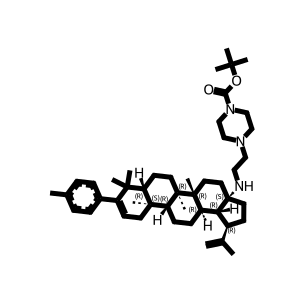 C=C(C)[C@@H]1CC[C@]2(NCCN3CCN(C(=O)OC(C)(C)C)CC3)CC[C@]3(C)[C@H](CC[C@@H]4[C@@]5(C)CC=C(c6ccc(C)cc6)C(C)(C)[C@@H]5CC[C@]43C)[C@@H]12